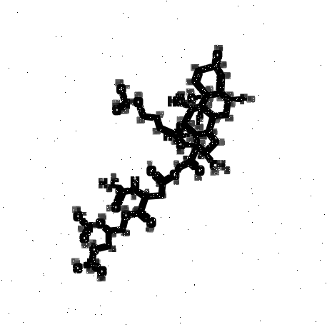 CC(=O)NC(CC(=O)OCC(=O)[C@@]1(OC(=O)CCCO[N+](=O)[O-])[C@H](C)CC2C3C[C@H](F)C4=CC(=O)C=C[C@]4(C)[C@@]3(F)[C@@H](O)C[C@@]21C)C(=O)OCC(CO[N+](=O)[O-])O[N+](=O)[O-]